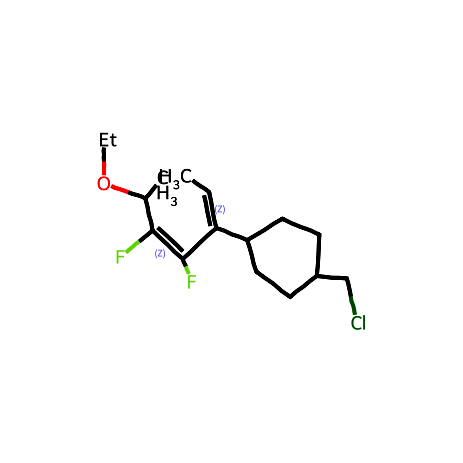 C/C=C(\C(F)=C(\F)C(C)OCC)C1CCC(CCl)CC1